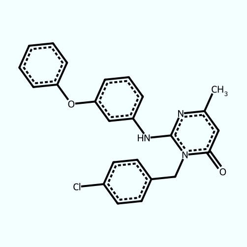 Cc1cc(=O)n(Cc2ccc(Cl)cc2)c(Nc2cccc(Oc3ccccc3)c2)n1